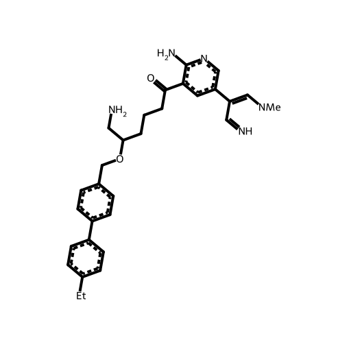 CCc1ccc(-c2ccc(COC(CN)CCCC(=O)c3cc(/C(C=N)=C/NC)cnc3N)cc2)cc1